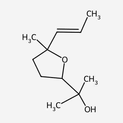 CC=CC1(C)CCC(C(C)(C)O)O1